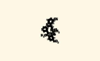 CN(Cc1cccnc1)c1ccc([N+](=O)[O-])cc1S(=O)(=O)N(C)N=Cc1cnn2ccc(C#N)cc12.Cl